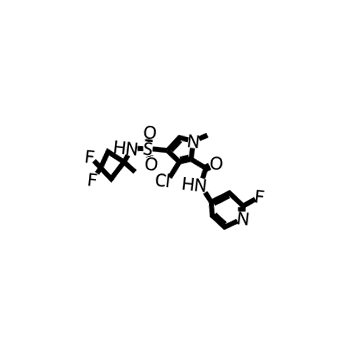 Cn1cc(S(=O)(=O)NC2(C)CC(F)(F)C2)c(Cl)c1C(=O)Nc1ccnc(F)c1